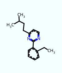 CCc1ccccc1-c1nccc(CCC(C)C)n1